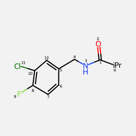 CC(C)C(=O)NCc1ccc(F)c(Cl)c1